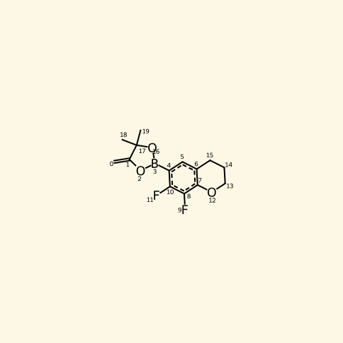 C=C1OB(c2cc3c(c(F)c2F)OCCC3)OC1(C)C